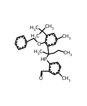 CCCC(C)(Pc1ccc(C)cc1C=O)c1cc(C)cc(C(C)(C)C)c1OCc1ccccc1